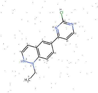 CCN1NC=Cc2cc(-c3ccnc(Cl)n3)ccc21